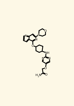 NC(=O)COc1cnc(NC2CCC(Oc3nc(N4CCOCC4)cc4ncccc34)CC2)nc1